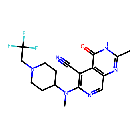 Cc1nc2cnc(N(C)C3CCN(CC(F)(F)F)CC3)c(C#N)c2c(=O)[nH]1